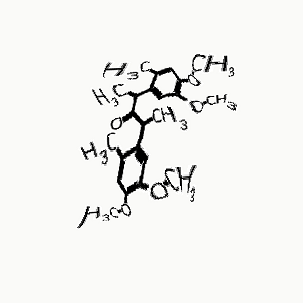 COc1cc(C)c(C(C)C(=O)C(C)c2cc(OC)c(OC)cc2C)cc1OC